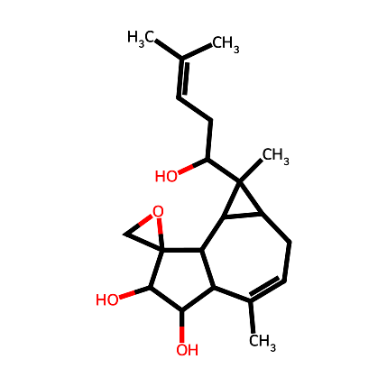 CC(C)=CCC(O)C1(C)C2CC=C(C)C3C(O)C(O)C4(CO4)C3C21